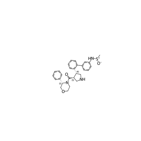 C[S+]([O-])Nc1cccc(-c2ccccc2[C@@H]2CNC[C@H]2C(=O)N2CCOC[C@@H]2c2ccccc2)c1